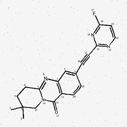 CC1(C)CCc2nc3cc(C#Cc4nccc(F)n4)ccc3c(=O)n2C1